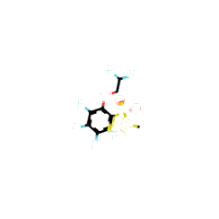 C[SH](S)S(=O)(=O)c1c(F)c(F)c(F)c(F)c1OCC(F)F